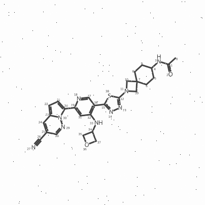 CC(=O)NC1CCC2(CC1)CN(c1nnc(-c3cnc(-c4ccc5cc(C#N)cnn45)cc3NC3COC3)s1)C2